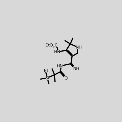 CCOC(=O)NC1=C(C(=N)NC(=O)C(C)(C)[Si](C)(C)CC)CNC1(C)C